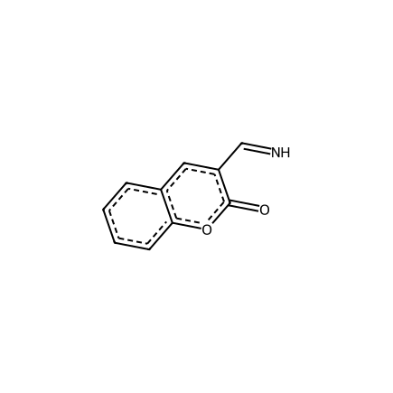 N=Cc1cc2ccccc2oc1=O